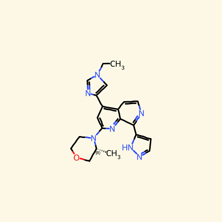 CCn1cnc(-c2cc(N3CCOC[C@H]3C)nc3c(-c4ccn[nH]4)nccc23)c1